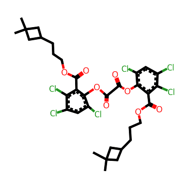 CC1(C)CC(CCCOC(=O)c2c(Cl)c(Cl)cc(Cl)c2OC(=O)C(=O)Oc2c(Cl)cc(Cl)c(Cl)c2C(=O)OCCCC2CC(C)(C)C2)C1